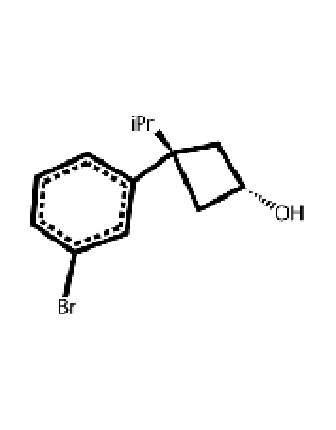 CC(C)[C@]1(c2cccc(Br)c2)C[C@@H](O)C1